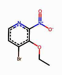 CCOc1c(Br)ccnc1[N+](=O)[O-]